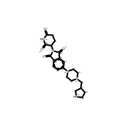 O=C1CCC(N2C(=O)c3ccc(N4CCN(CC5CCNC5)CC4)cc3C2=O)C(=O)N1